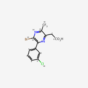 O=C(O)Cc1nc(-c2cccc(Cl)c2)c(Br)nc1C(F)(F)F